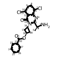 C[C@H](N)c1nc2c(Cl)ccc(Cl)c2c(=O)n1[C@H]1C[C@H](OC(=O)c2ccccc2)C1